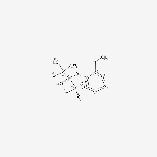 CCc1ccccc1OP(=O)(C(C)(C)C)C(C)(C)C